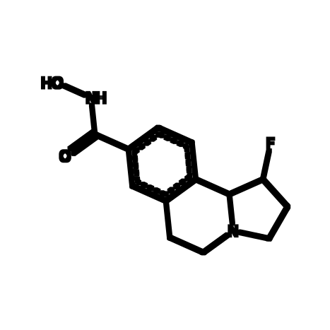 O=C(NO)c1ccc2c(c1)CCN1CCC(F)C21